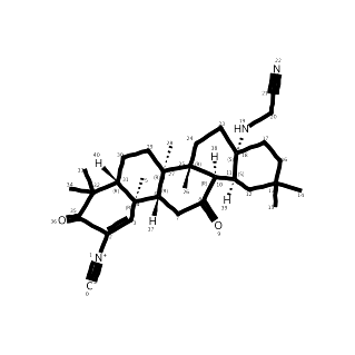 [C-]#[N+]C1=C[C@]2(C)[C@H]3CC(=O)[C@@H]4[C@@H]5CC(C)(C)CC[C@]5(NCC#N)CC[C@@]4(C)[C@]3(C)CC[C@H]2C(C)(C)C1=O